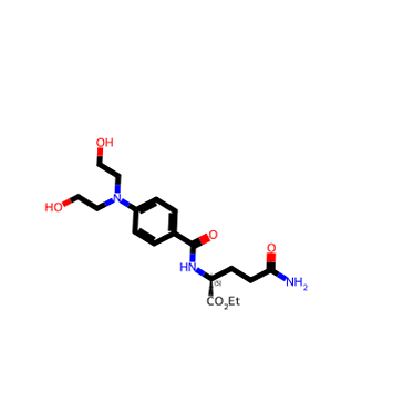 CCOC(=O)[C@H](CCC(N)=O)NC(=O)c1ccc(N(CCO)CCO)cc1